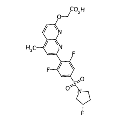 Cc1cc(-c2c(F)cc(S(=O)(=O)N3CC[C@H](F)C3)cc2F)nc2nc(OCC(=O)O)ccc12